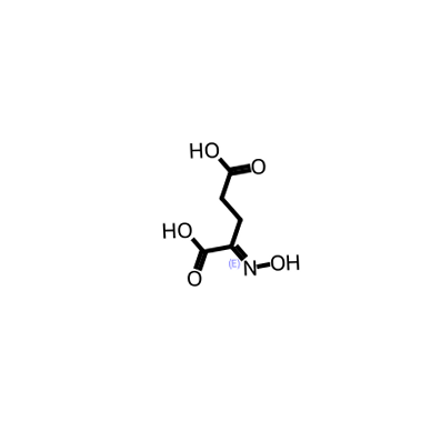 O=C(O)CC/C(=N\O)C(=O)O